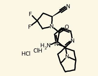 CC1(C(N)C(=O)N2CC(F)(F)C[C@H]2C#N)CC2CCC(C1)N2c1ncccn1.Cl.Cl